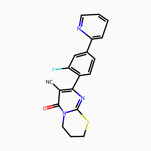 N#Cc1c(-c2ccc(-c3ccccn3)cc2F)nc2n(c1=O)CCCS2